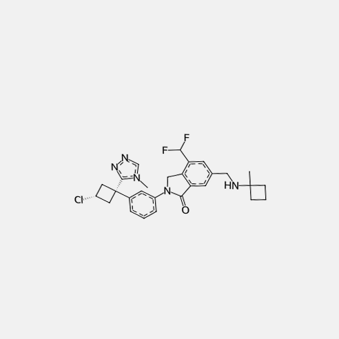 Cn1cnnc1[C@]1(c2cccc(N3Cc4c(cc(CNC5(C)CCC5)cc4C(F)F)C3=O)c2)C[C@H](Cl)C1